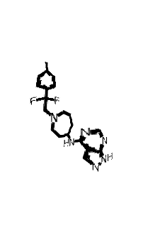 Cc1ccc(C(F)(F)CN2CCCC(Nc3ncnc4[nH]ncc34)CC2)cc1